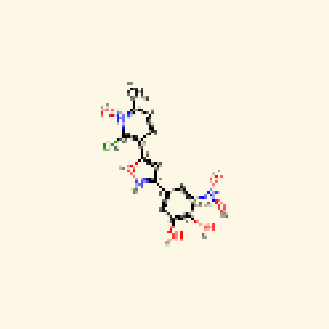 Cc1ccc(-c2cc(-c3cc(O)c(O)c([N+](=O)[O-])c3)no2)c(Cl)[n+]1[O-]